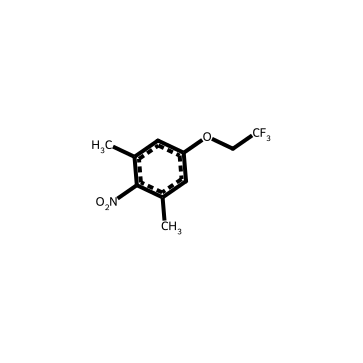 Cc1cc(OCC(F)(F)F)cc(C)c1[N+](=O)[O-]